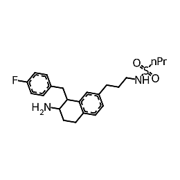 CCCS(=O)(=O)NCCCc1ccc2c(c1)C(Cc1ccc(F)cc1)C(N)CC2